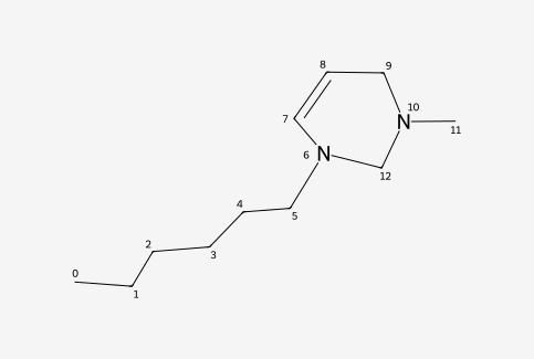 CCCCCCN1C=CCN(C)C1